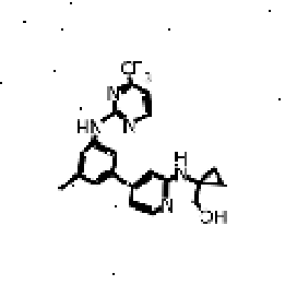 Cc1cc(Nc2nccc(C(F)(F)F)n2)cc(-c2ccnc(NC3(CO)CC3)c2)c1